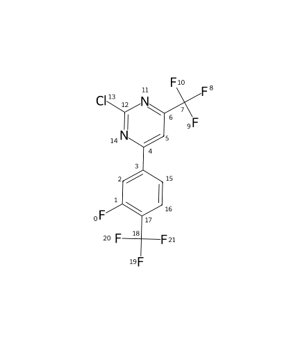 Fc1cc(-c2cc(C(F)(F)F)nc(Cl)n2)ccc1C(F)(F)F